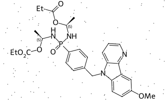 CCOC(=O)O[C@@H](C)NP(=O)(N[C@H](C)OC(=O)CC)c1ccc(Cn2c3ccc(OC)cc3c3ncccc32)cc1